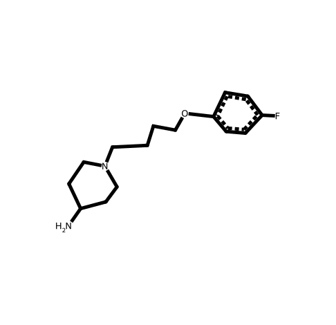 NC1CCN(CCCCOc2ccc(F)cc2)CC1